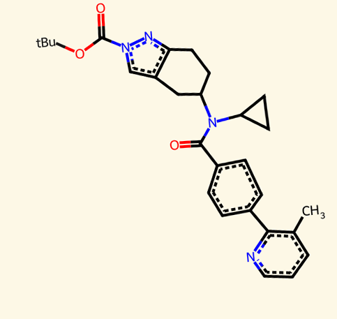 Cc1cccnc1-c1ccc(C(=O)N(C2CC2)C2CCc3nn(C(=O)OC(C)(C)C)cc3C2)cc1